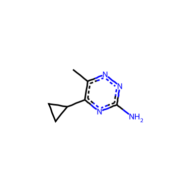 Cc1nnc(N)nc1C1CC1